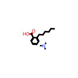 CCCCCCc1ccccc1C(=O)O.CN(C)C